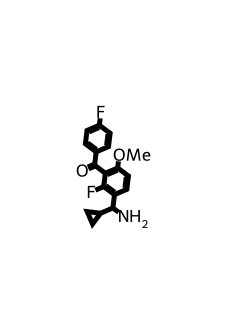 COc1ccc(C(N)C2CC2)c(F)c1C(=O)c1ccc(F)cc1